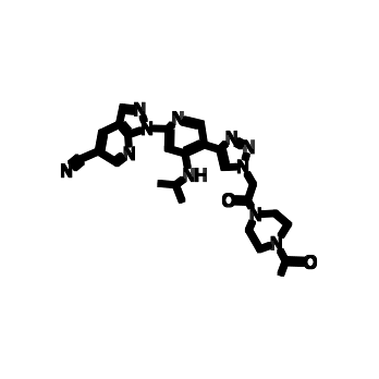 CC(=O)N1CCN(C(=O)Cn2cc(-c3cnc(-n4ncc5cc(C#N)cnc54)cc3NC(C)C)nn2)CC1